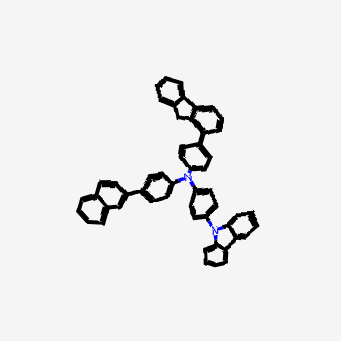 c1ccc2c(c1)Cc1c(-c3ccc(N(c4ccc(-c5ccc6ccccc6c5)cc4)c4ccc(-n5c6ccccc6c6ccccc65)cc4)cc3)cccc1-2